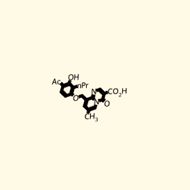 CCCc1c(OCc2cc(C)cn3c(=O)c(C(=O)O)cnc23)ccc(C(C)=O)c1O